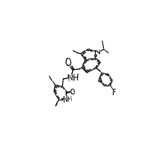 Cc1cc(C)c(CNC(=O)c2cc(-c3ccc(F)cc3)cc3c2c(C)cn3C(C)C)c(=O)[nH]1